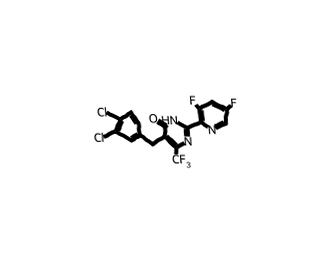 O=c1[nH]c(-c2ncc(F)cc2F)nc(C(F)(F)F)c1Cc1ccc(Cl)c(Cl)c1